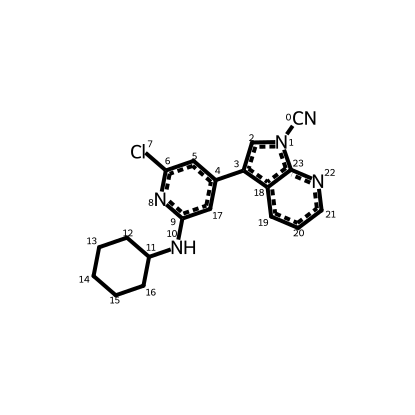 N#Cn1cc(-c2cc(Cl)nc(NC3CCCCC3)c2)c2cccnc21